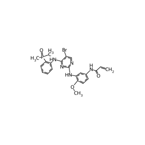 C=CC(=O)Nc1ccc(OC)c(Nc2ncc(Br)c(Nc3ccccc3P(C)(C)=O)n2)c1